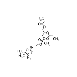 CCC(=O)OCC(COP(C)(=O)OCCNC(=O)OC(C)(C)C)OC(=O)CC